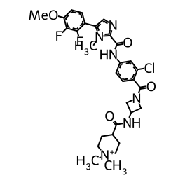 COc1ccc(-c2cnc(C(=O)Nc3ccc(C(=O)N4CC(NC(=O)C5CC[N+](C)(C)CC5)C4)c(Cl)c3)n2C)c(F)c1F